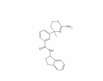 CC1(c2cccc(C(=O)NC3CCc4ccccc43)c2)CCSC(N)=N1